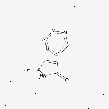 O=C1C=CC(=O)N1.c1cnnnn1